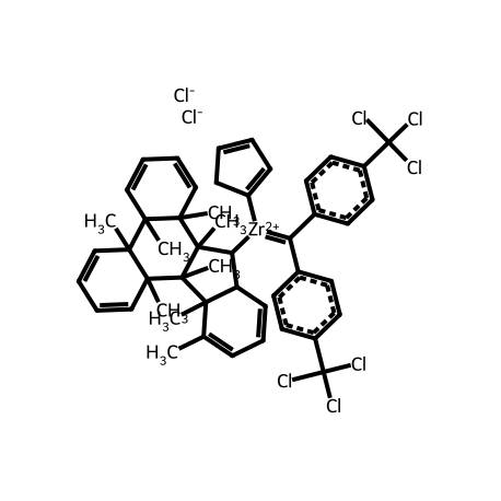 CC1=CC=CC2[CH]([Zr+2]([C]3=CC=CC3)=[C](c3ccc(C(Cl)(Cl)Cl)cc3)c3ccc(C(Cl)(Cl)Cl)cc3)C3(C)C4(C)C=CC=CC4(C)C4(C)C=CC=CC4(C)C3(C)C12C.[Cl-].[Cl-]